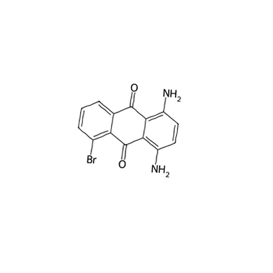 Nc1ccc(N)c2c1C(=O)c1cccc(Br)c1C2=O